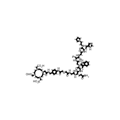 CC(C)C(NC(=O)CNC(=O)[C@H](Cc1c[nH]c2ccccc12)NC(=O)[C@H](CCC(N)=O)NC(=O)CNC(=O)COCC(=O)Nc1ccc(CNC(=O)CN2CCN(CC(=O)O)CCN(CC=O)CCN(CC(=O)O)CC2)cc1)C(=O)NCC(=O)N[C@@H](CCc1cnc[nH]1)C(=O)NCCN1CCCC1